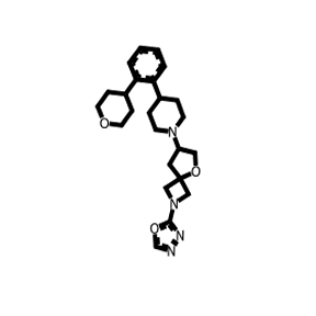 c1ccc(C2CCN(C3COC4(C3)CN(c3nnco3)C4)CC2)c(C2CCOCC2)c1